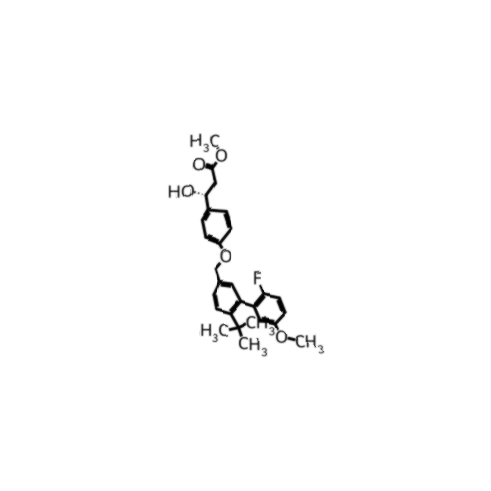 COC(=O)C[C@@H](O)c1ccc(OCc2ccc(C(C)(C)C)c(-c3cc(OC)ccc3F)c2)cc1